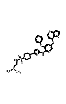 CN(C)CCNS(=O)(=O)N1CCC(c2csc(Nc3ncc(Sc4ccnc5ccsc45)cc3Oc3ccccc3)n2)CC1